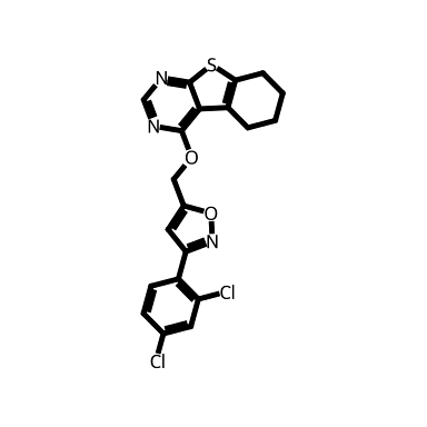 Clc1ccc(-c2cc(COc3ncnc4sc5c(c34)CCCC5)on2)c(Cl)c1